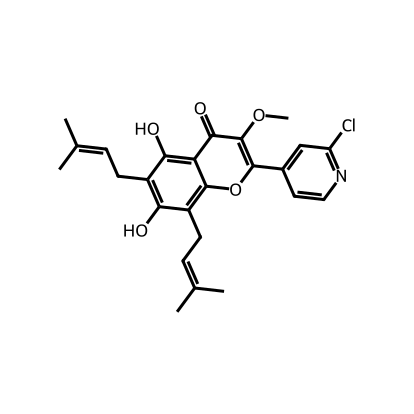 COc1c(-c2ccnc(Cl)c2)oc2c(CC=C(C)C)c(O)c(CC=C(C)C)c(O)c2c1=O